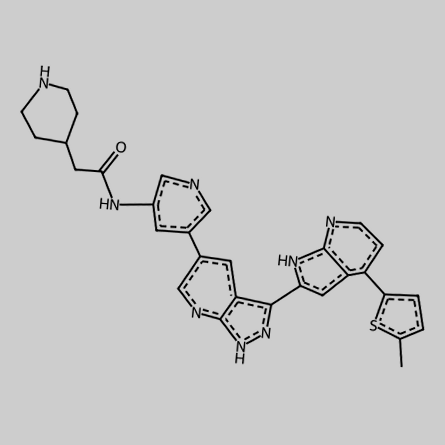 Cc1ccc(-c2ccnc3[nH]c(-c4n[nH]c5ncc(-c6cncc(NC(=O)CC7CCNCC7)c6)cc45)cc23)s1